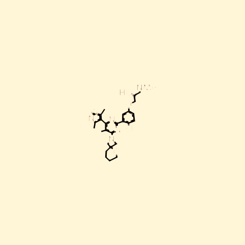 CNC[C@@H](O)COc1ccc(Cl)c(-c2nc(-c3c(C)noc3C)c(C)c(N3CC4(CCCCO4)C3)n2)c1